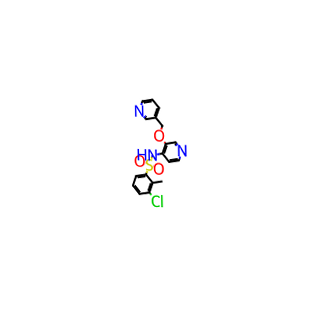 Cc1c(Cl)cccc1S(=O)(=O)Nc1ccncc1OCc1cccnc1